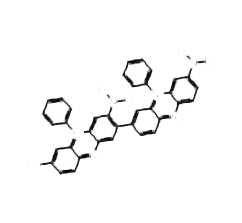 CCN(CC)c1ccc2nc3ccc(-c4cc5nc6ccc(O)cc6[n+](-c6ccccc6)c5cc4N(CC)CC)cc3[n+](-c3ccccc3)c2c1